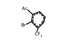 CC(=O)c1cccc(C(F)(F)F)c1Br